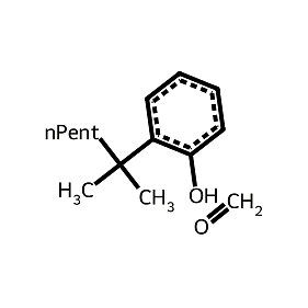 C=O.CCCCCC(C)(C)c1ccccc1O